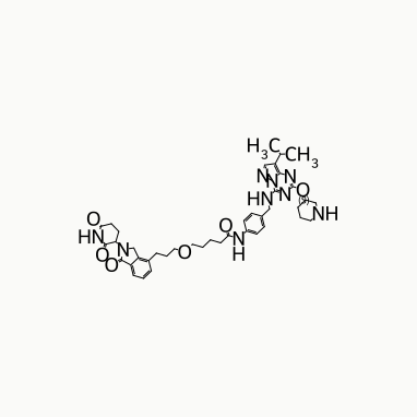 CC(C)c1cnn2c(NCc3ccc(NC(=O)CCCCOCCCc4cccc5c4CN(C4CCC(=O)NC4=O)C5=O)cc3)nc(O[C@H]3CCCNC3)nc12